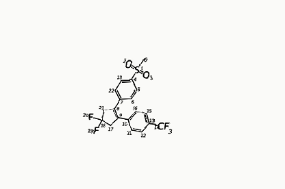 CS(=O)(=O)c1ccc(C2=C(c3ccc(C(F)(F)F)cc3)CC(F)(F)C2)cc1